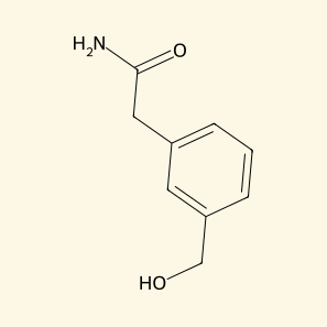 NC(=O)Cc1cccc(CO)c1